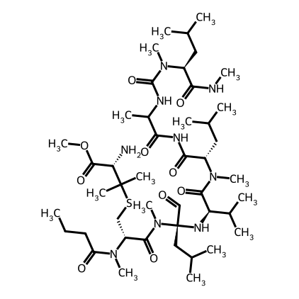 CCCC(=O)N(C)[C@H](CSC(C)(C)[C@@H](N)C(=O)OC)C(=O)N(C)[C@@](C=O)(CC(C)C)N[C@@H](C(=O)N(C)[C@@H](CC(C)C)C(=O)NC(=O)C(C)NC(=O)N(C)[C@@H](CC(C)C)C(=O)NC)C(C)C